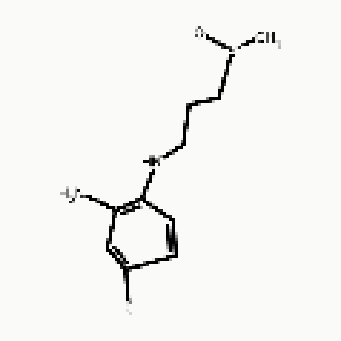 C[S+]([O-])CCCNc1ccc(Cl)cc1N